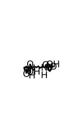 O=C(NCCCCCNC(=O)c1cccc(=O)n1O)c1cccc(=O)n1O